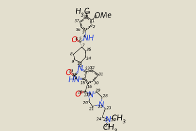 COc1cc(NC(=O)[C@H]2CC[C@@H](n3c(=O)[nH]c4c(C(=O)N5CCN(CCN(C)C)CC5)cccc43)CC2)ccc1C